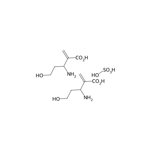 C=C(C(=O)O)C(N)CCO.C=C(C(=O)O)C(N)CCO.O=S(=O)(O)O